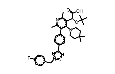 Cc1nc(C)c([C@H](OC(C)(C)C)C(=O)O)c(N2CCC(C)(C)CC2)c1-c1ccc(-c2nnn(Cc3ccc(F)cc3)n2)cc1